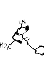 N#Cc1ccc2c(OCc3ccccc3)cc(C(=O)O)cc2c1